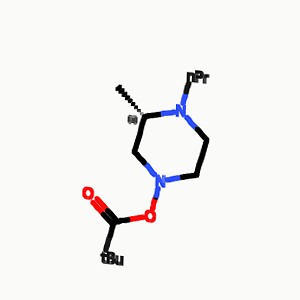 CCCN1CCN(OC(=O)C(C)(C)C)C[C@@H]1C